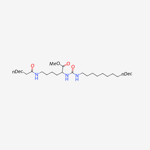 CCCCCCCCCCCCCCCCCCNC(=O)NC(CCCCNC(=O)CCCCCCCCCCC)C(=O)OC